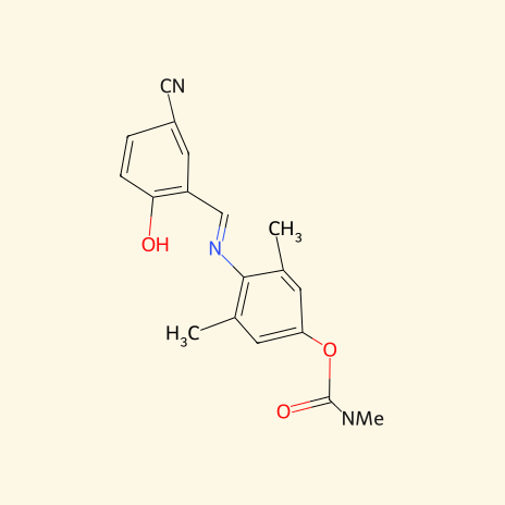 CNC(=O)Oc1cc(C)c(N=Cc2cc(C#N)ccc2O)c(C)c1